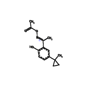 CC(=O)O/N=C(\C)c1cc(C2(C)CC2)ccc1O